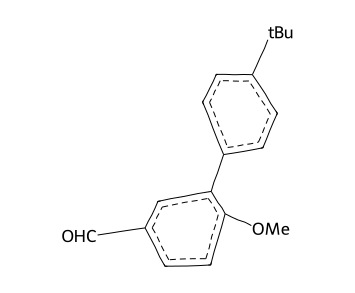 COc1ccc(C=O)cc1-c1ccc(C(C)(C)C)cc1